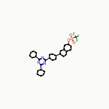 O=S(=O)(Oc1ccc2ccc(-c3ccc(-c4nc(-c5ccccc5)nc(-c5ccccc5)n4)cc3)cc2c1)C(F)(F)F